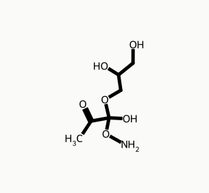 CC(=O)C(O)(ON)OCC(O)CO